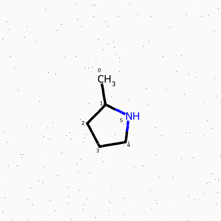 CC1CC[CH]N1